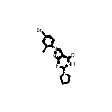 Cc1cc(Br)ccc1-n1cc2c(=O)[nH]c(N3CCCC3)nc2n1